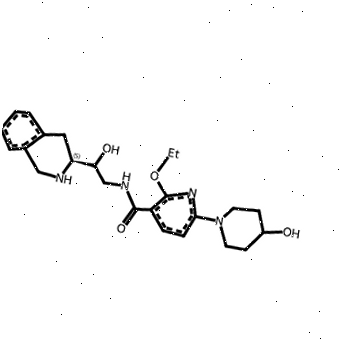 CCOc1nc(N2CCC(O)CC2)ccc1C(=O)NCC(O)[C@@H]1Cc2ccccc2CN1